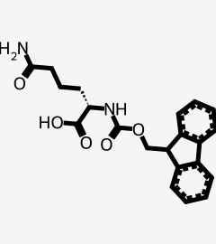 NC(=O)CCC[C@H](NC(=O)OCC1c2ccccc2-c2ccccc21)C(=O)O